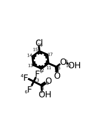 O=C(O)C(F)(F)F.O=C(OO)c1cccc(Cl)c1